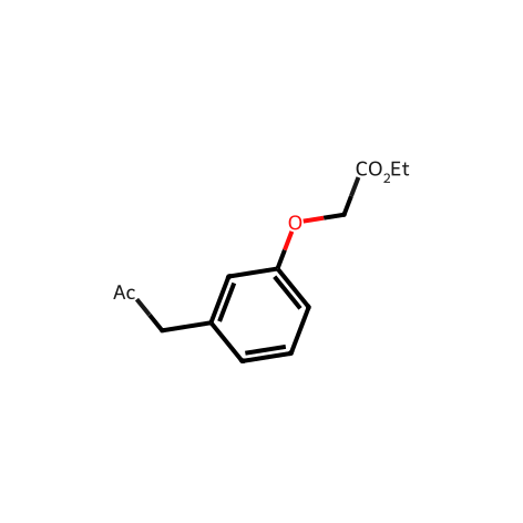 CCOC(=O)COc1cccc(CC(C)=O)c1